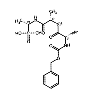 CCC[C@H](NC(=O)OCc1ccccc1)C(=O)N[C@@H](C)C(=O)N[C@@H](C)P(=O)(O)O